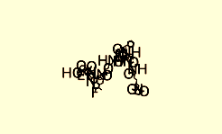 CC[C@@]1(O)COCc2c1cc1n(c2=O)Cc2c-1nc1cc(F)c(C)c3c1c2[C@@H](NC(=O)COCCNC(=O)CNC(=O)[C@H](Cc1ccccc1)NC(=O)CNC(=O)CNC(=O)CCCCCN1C(=O)C=CC1=O)CC3